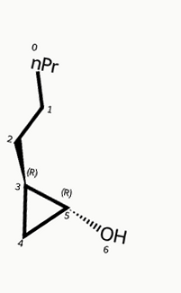 CCCCC[C@@H]1C[C@H]1O